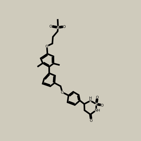 Cc1cc(OCCCS(C)(=O)=O)cc(C)c1-c1cccc(COc2ccc(C3CC(=O)NS(=O)(=O)N3)cc2)c1